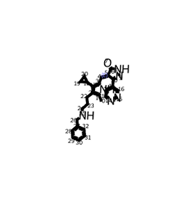 Cc1[nH]c(/C=C2/C(=O)NN=C2c2ccnnc2)c(C2CC2)c1CCCNCc1ccccc1